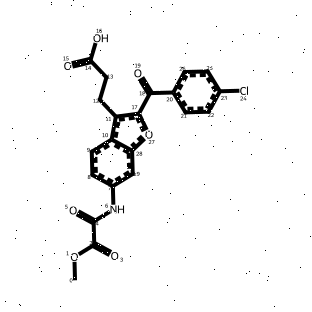 COC(=O)C(=O)Nc1ccc2c(CCC(=O)O)c(C(=O)c3ccc(Cl)cc3)oc2c1